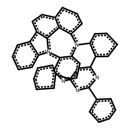 c1ccc(-c2nc(-c3ccccc3)nc(-c3ccccc3-n3c4cccc5ccc6c7ccccc7n(c7cnccc73)c6c54)n2)cc1